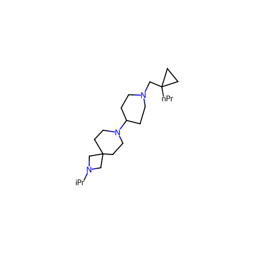 CCCC1(CN2CCC(N3CCC4(CC3)CN(C(C)C)C4)CC2)CC1